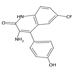 Nc1c(-c2ccc(O)cc2)c2cc(C(F)(F)F)ccc2[nH]c1=O